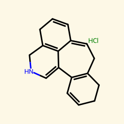 C1=CC2=C(CC=C3C=CCC4=C3C2=CNC4)CC1.Cl